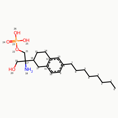 CCCCCCCCc1ccc2c(c1)CCC(C(N)(CO)COP(=O)(O)O)C2